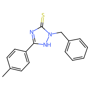 Cc1ccc(-c2nc(=S)n(Cc3ccccc3)[nH]2)cc1